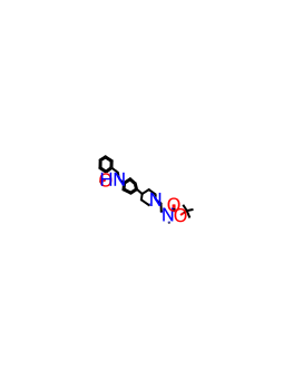 COc1ccccc1CNc1ccc(C2CCN(CCN(C)C(=O)OC(C)(C)C)CC2)cc1